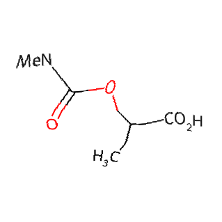 CNC(=O)OC(C)C(=O)O